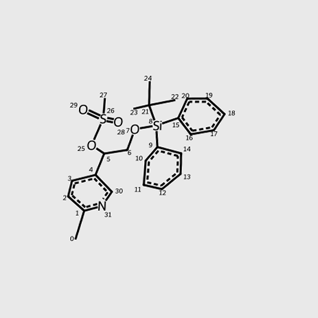 Cc1ccc(C(CO[Si](c2ccccc2)(c2ccccc2)C(C)(C)C)OS(C)(=O)=O)cn1